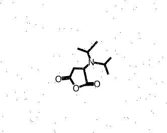 CC(C)N(C(C)C)C1CC(=O)OC1=O